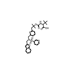 CC(C)(Cc1cccc(CN(Cc2cc3ccccc3s2)S(=O)(=O)c2cccnc2)n1)OC(=O)NC(C(=O)O)C(C)(C)C